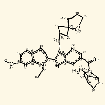 CCn1c(-c2nc3cc(C(=O)N4CC5CCC4C5N)cnc3n2CC2CC3(CCCO3)C2)cc2ccc(OC)nc21